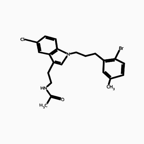 CC(=O)NCCc1cn(CCCc2cc(C)ccc2Br)c2ccc(Cl)cc12